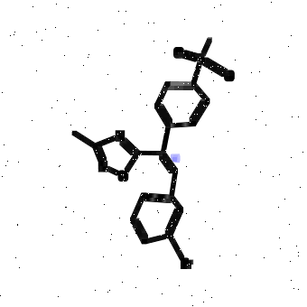 Cc1noc(/C(=C\c2cccc(Br)c2)c2ccc(S(C)(=O)=O)cc2)n1